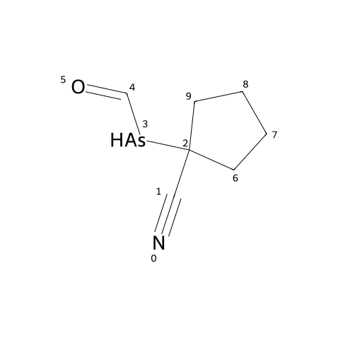 N#CC1([AsH]C=O)CCCC1